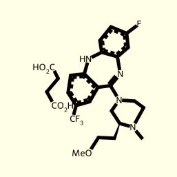 COCC[C@H]1CN(C2=Nc3cc(F)ccc3Nc3ccc(C(F)(F)F)cc32)CCN1C.O=C(O)CCC(=O)O